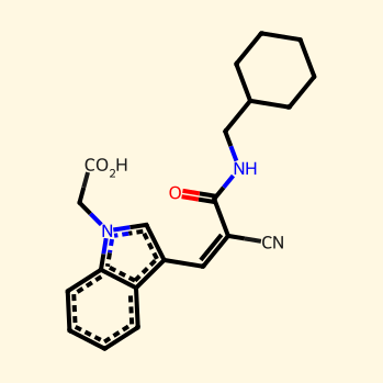 N#CC(=Cc1cn(CC(=O)O)c2ccccc12)C(=O)NCC1CCCCC1